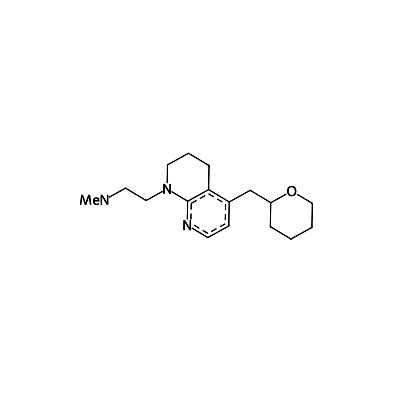 CNCCN1CCCc2c(CC3CCCCO3)ccnc21